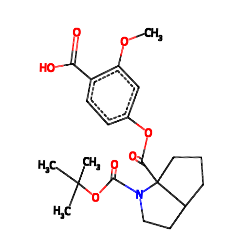 COc1cc(OC(=O)C23CCCC2CCN3C(=O)OC(C)(C)C)ccc1C(=O)O